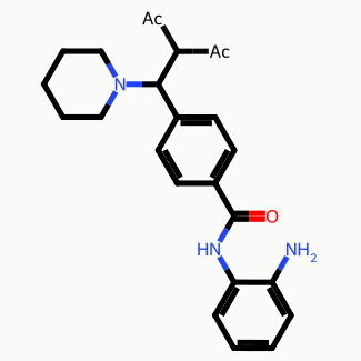 CC(=O)C(C(C)=O)C(c1ccc(C(=O)Nc2ccccc2N)cc1)N1CCCCC1